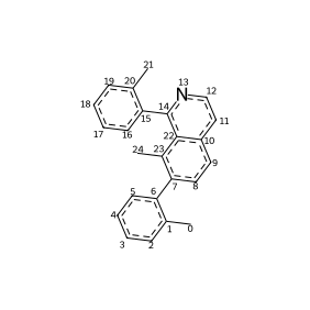 Cc1ccccc1-c1ccc2ccnc(-c3ccccc3C)c2c1C